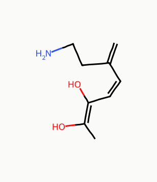 C=C(/C=C\C(O)=C(/C)O)CCN